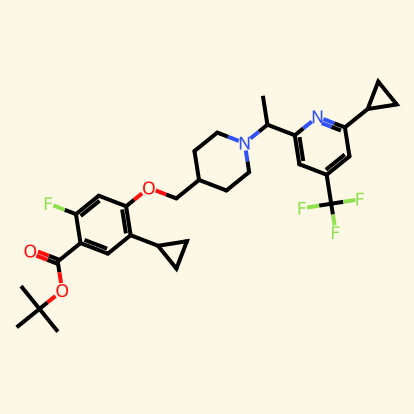 CC(c1cc(C(F)(F)F)cc(C2CC2)n1)N1CCC(COc2cc(F)c(C(=O)OC(C)(C)C)cc2C2CC2)CC1